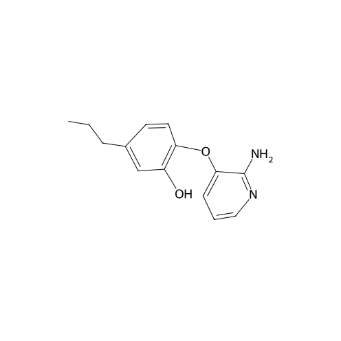 CCCc1ccc(Oc2cccnc2N)c(O)c1